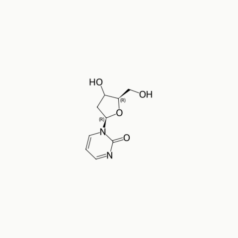 O=c1ncccn1[C@H]1CC(O)[C@@H](CO)O1